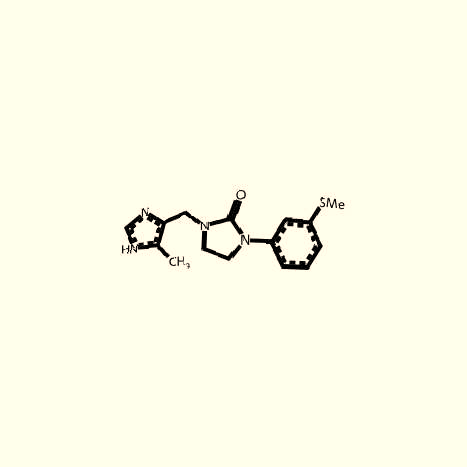 CSc1cccc(N2CCN(Cc3nc[nH]c3C)C2=O)c1